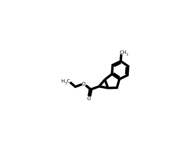 CCOC(=O)C1C2Cc3ccc(C)cc3C21